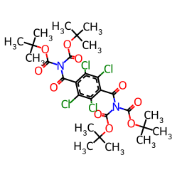 CC(C)(C)OC(=O)N(C(=O)OC(C)(C)C)C(=O)c1c(Cl)c(Cl)c(C(=O)N(C(=O)OC(C)(C)C)C(=O)OC(C)(C)C)c(Cl)c1Cl